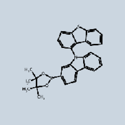 CC1(C)OB(c2ccc3c4ccccc4n(-c4cccc5sc6ccccc6c45)c3c2)OC1(C)C